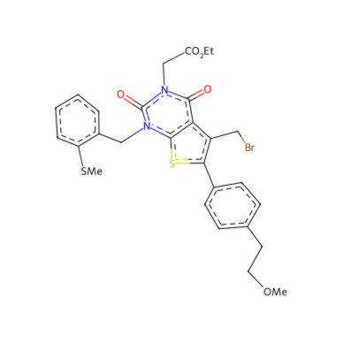 CCOC(=O)Cn1c(=O)c2c(CBr)c(-c3ccc(CCOC)cc3)sc2n(Cc2ccccc2SC)c1=O